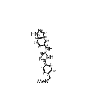 CNCc1ccc(-c2nnc(Nc3ccc4[nH]ncc4c3)[nH]2)cc1